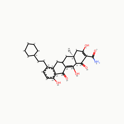 NC(=O)C1=C(O)C[C@@H]2CC3Cc4c(CCC5CCCCC5)ccc(O)c4C(=O)C3=C(O)C2C1=O